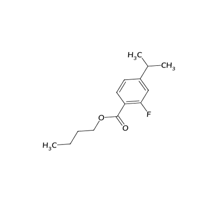 CCCCOC(=O)c1ccc(C(C)C)cc1F